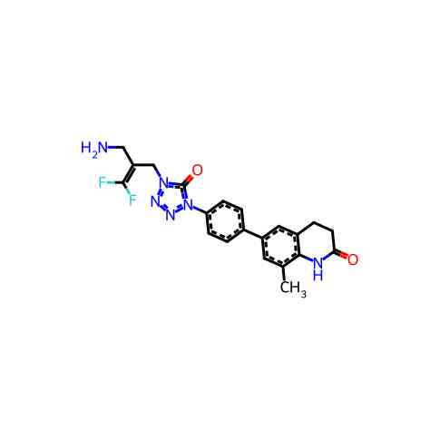 Cc1cc(-c2ccc(-n3nnn(CC(CN)=C(F)F)c3=O)cc2)cc2c1NC(=O)CC2